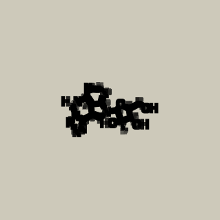 Cn1nnnc1-c1cn(C2OC(CO)[C@@H](O)[C@@]2(C)O)c2ncnc(N)c12